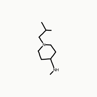 CNC1CCN(CC(C)C)CC1